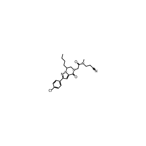 CCCCC1CN(CC(=O)N(C)CCC#N)C(=O)c2cc(-c3ccc(Cl)cc3)nn21